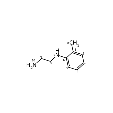 Cc1ccccc1NCCN